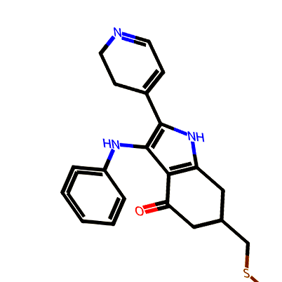 CC(C)SCC1CC(=O)c2c([nH]c(C3=CC=NCC3)c2NC2=C=C=CC=C2)C1